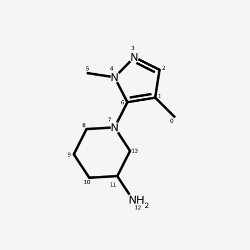 Cc1cnn(C)c1N1CCCC(N)C1